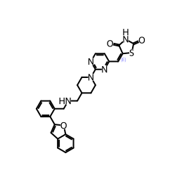 O=C1NC(=O)/C(=C\c2ccnc(N3CCC(CNCc4ccccc4-c4cc5ccccc5o4)CC3)n2)S1